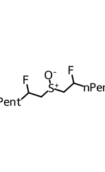 CCCCCC(F)C[S+]([O-])CC(F)CCCCC